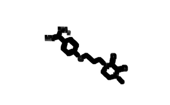 CN1CCN(CCCOc2ccc(C(=N)N)cc2)C(=O)C1=O